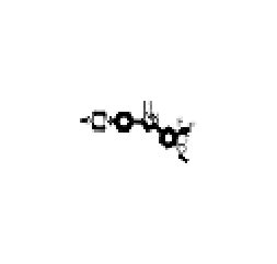 CCOc1ccc(-c2cc(-c3ccc(N4CCN(C)CC4)cc3)[nH]n2)cc1C(F)(F)F